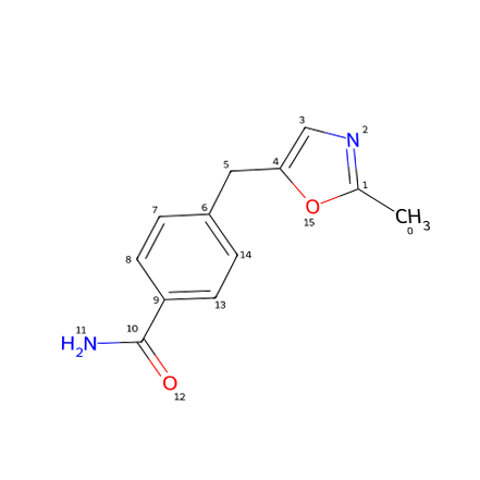 Cc1ncc(Cc2ccc(C(N)=O)cc2)o1